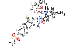 CCS(=O)(=O)c1ccc(-c2ccc(C[C@@H](C#N)NC(=O)[C@@H]3[C@@H]4C[C@@H]([C@H]5[C@@H](C)[C@@H]45)N3C(=O)OC(C)(C)C)c(F)c2)cc1